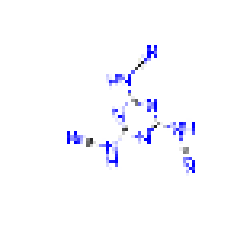 N#CNc1nc(NC#N)nc(NC#N)n1